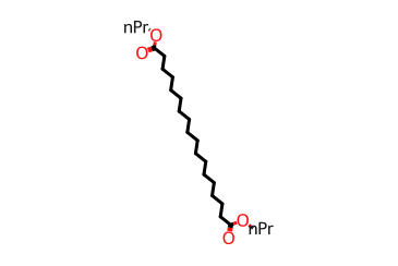 CCCOC(=O)CCCCCCCCCCCCCCCCC(=O)OCCC